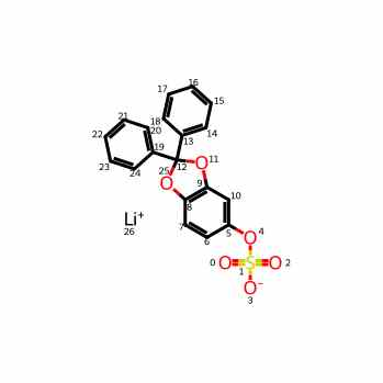 O=S(=O)([O-])Oc1ccc2c(c1)OC(c1ccccc1)(c1ccccc1)O2.[Li+]